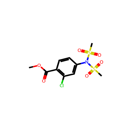 COC(=O)c1ccc(N(S(C)(=O)=O)S(C)(=O)=O)cc1Cl